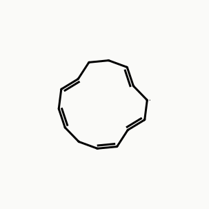 [CH]1/C=C/C=C\C/C=C\C=C\CC/C=C/1